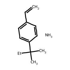 C=Cc1ccc(C(C)(C)CC)cc1.N